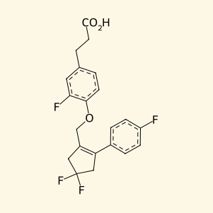 O=C(O)CCc1ccc(OCC2=C(c3ccc(F)cc3)CC(F)(F)C2)c(F)c1